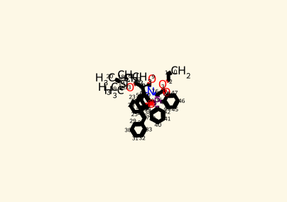 C=CCOC(=O)C(N1C(=O)[C@H]([C@@H](C)O[Si](C)(C)C(C)(C)C)[C@H]1[C@H]1CCCC(=Cc2ccccc2)C1=O)=P(c1ccccc1)(c1ccccc1)c1ccccc1